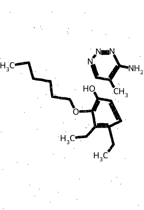 CCCCCCOc1c(O)ccc(CC)c1CC.Cc1cnnnc1N